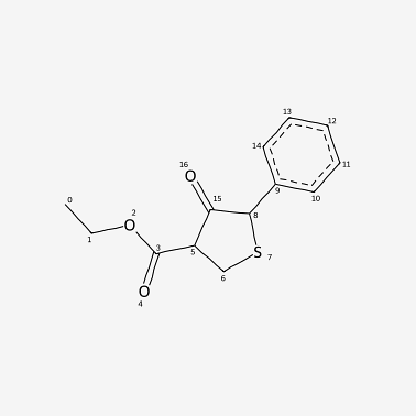 CCOC(=O)C1CSC(c2ccccc2)C1=O